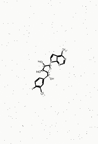 Cc1ncnc2c1ccn2[C@@H]1O[C@H]([C@H](O)c2ccc(F)c(C(F)(F)F)c2)[C@@H](O)[C@H]1O